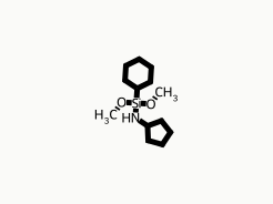 CO[Si](NC1CCCC1)(OC)C1CCCCC1